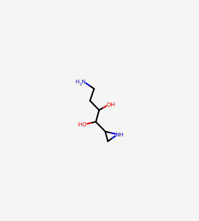 NCCC(O)C(O)C1CN1